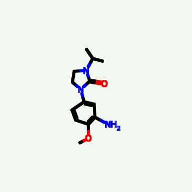 COc1ccc(N2CCN(C(C)C)C2=O)cc1N